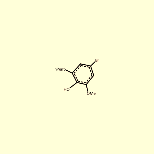 CCCCCc1cc(Br)cc(OC)c1O